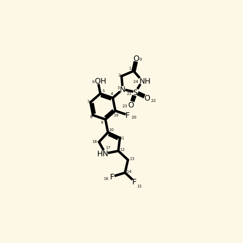 O=C1CN(c2c(O)ccc(C3=CC(CC(F)F)NC3)c2F)S(=O)(=O)N1